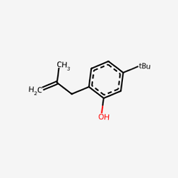 C=C(C)Cc1ccc(C(C)(C)C)cc1O